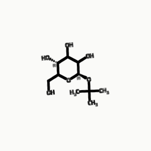 CC(C)(C)O[C@H]1OC(CO)[C@H](O)C(O)C1O